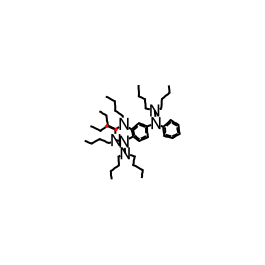 CCCCN(CCCC)c1cc(N(c2ccccc2)N(CCCC)CCCC)ccc1N(N(CCCC)CCCC)N(CCCC)CCCC